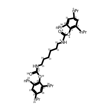 CCCc1cc(CCC)c(OC(=O)NCCCCCCNC(=O)Oc2c(CCC)cc(CCC)cc2CCC)c(CCC)c1